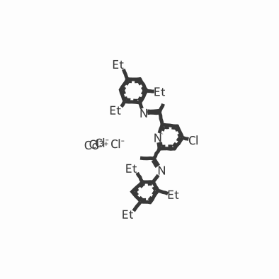 CCc1cc(CC)c(N=C(C)c2cc(Cl)cc(C(C)=Nc3c(CC)cc(CC)cc3CC)n2)c(CC)c1.[Cl-].[Cl-].[Cl-].[Co+3]